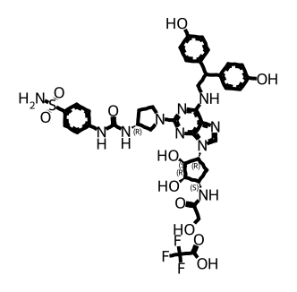 NS(=O)(=O)c1ccc(NC(=O)N[C@@H]2CCN(c3nc(NCC(c4ccc(O)cc4)c4ccc(O)cc4)c4ncn([C@@H]5C[C@H](NC(=O)CO)[C@@H](O)[C@H]5O)c4n3)C2)cc1.O=C(O)C(F)(F)F